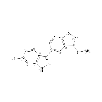 NCC1NSc2ccc(-c3c[nH]c4cc(F)ccc34)cc21